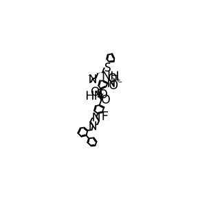 CN(C)CC[C@H](CSc1ccccc1)Nc1ccc(S(=O)(=O)NC(=O)c2ccc(N3CCN(Cc4ccccc4-c4ccccc4)CC3)c(F)c2)cc1[N+](=O)[O-]